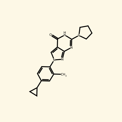 Cc1cc(C2CC2)ccc1-n1cc2c(=O)[nH]c(N3CCCC3)nc2n1